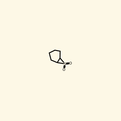 O=S1(=O)C2CCCCC21